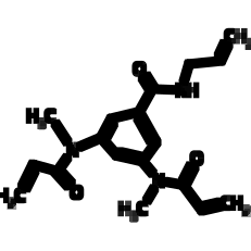 C=CCNC(=O)c1cc(N(C)C(=O)C=C)cc(N(C)C(=O)C=C)c1